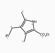 CCOC(=O)c1[nH]c(C)c(CC(C)C)c1C